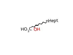 CCCCCCCCCCC/C=C/C(O)CC(=O)O